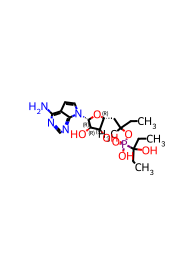 CCC(C)(C[C@H]1O[C@@H](n2ccc3c(N)ncnc32)[C@H](O)[C@@H]1O)OP(=O)(O)C(O)(CC)CC